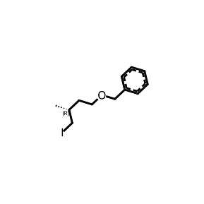 C[C@@H](CI)CCOCc1ccccc1